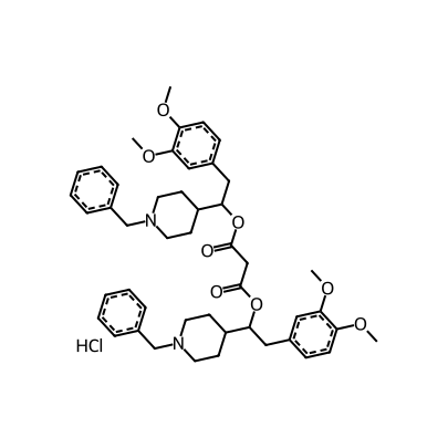 COc1ccc(CC(OC(=O)CC(=O)OC(Cc2ccc(OC)c(OC)c2)C2CCN(Cc3ccccc3)CC2)C2CCN(Cc3ccccc3)CC2)cc1OC.Cl